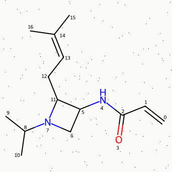 C=CC(=O)NC1CN(C(C)C)C1CC=C(C)C